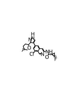 C[C@H]1CCC(c2n[nH]cc2-c2cc(Cl)c3cnc(NC(=O)[C@H]4C[C@H]4F)cc3c2)OC1